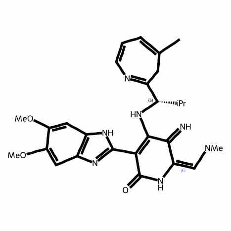 CN/C=C1/NC(=O)C(c2nc3cc(OC)c(OC)cc3[nH]2)=C(N[C@H](C2=NC=CC=C(C)C2)C(C)C)C1=N